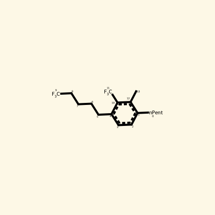 CCCCCc1ccc(CCCCC(F)(F)F)c(C(F)(F)F)c1C